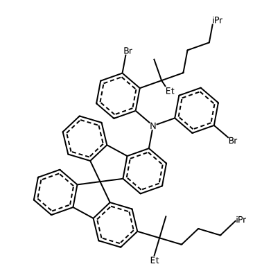 CCC(C)(CCCC(C)C)c1ccc2c(c1)C1(c3ccccc3-2)c2ccccc2-c2c(N(c3cccc(Br)c3)c3cccc(Br)c3C(C)(CC)CCCC(C)C)cccc21